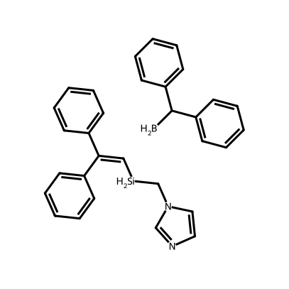 BC(c1ccccc1)c1ccccc1.C([SiH2]Cn1ccnc1)=C(c1ccccc1)c1ccccc1